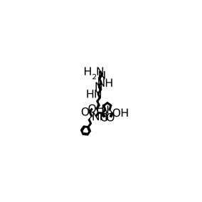 NN=CNN=CNCCCC[C@H](N[C@@H](CCc1ccccc1)C(=O)O)C(=O)N1CCC[C@H]1C(=O)O